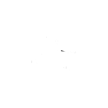 C=C/C(O[C@H](C)CCC)=C(C)/C=C\C